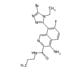 CCCNC(=O)c1ncc2c(-c3nnc(Br)n3CC)c(F)ccc2c1N